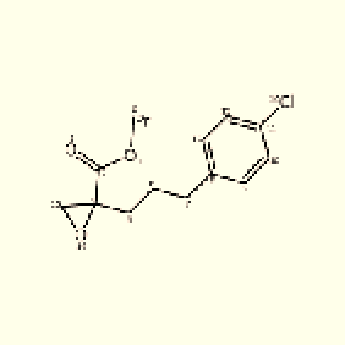 CC(C)OC(=O)C1(CCCc2ccc(Cl)cc2)CO1